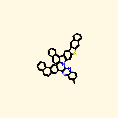 Cc1ccc2nc(-n3c4cc5sc6cc7ccccc7cc6c5cc4c4c5ccccc5ccc43)c(-c3ccc4c(ccc5ccccc54)c3)nc2c1